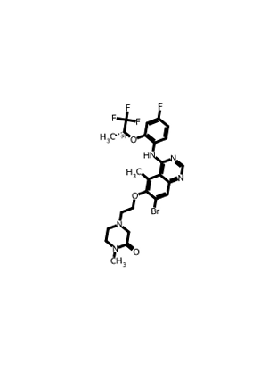 Cc1c(OCCN2CCN(C)C(=O)C2)c(Br)cc2ncnc(Nc3ccc(F)cc3O[C@H](C)C(F)(F)F)c12